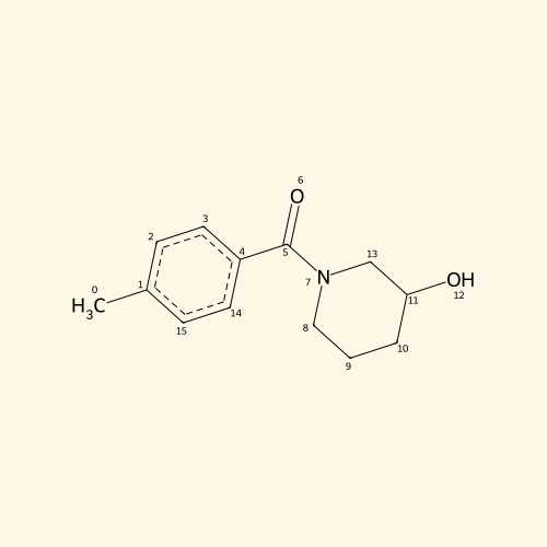 Cc1ccc(C(=O)N2CCCC(O)C2)cc1